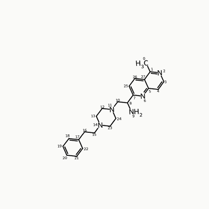 Cc1nccc2nc(C(N)CN3CCN(CCc4ccccc4)CC3)ccc12